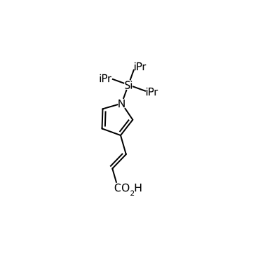 CC(C)[Si](C(C)C)(C(C)C)n1ccc(C=CC(=O)O)c1